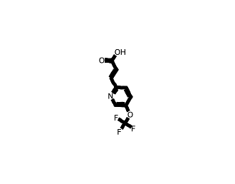 O=C(O)/C=C/c1ccc(OC(F)(F)F)cn1